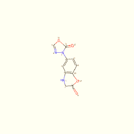 O=C1CNc2cc(-n3n[c]oc3=O)ccc2O1